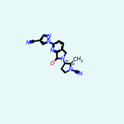 C[C@@H]1[C@H](N2Cc3ccc(-n4cc(C#N)cn4)nc3C2=O)CCN1C#N